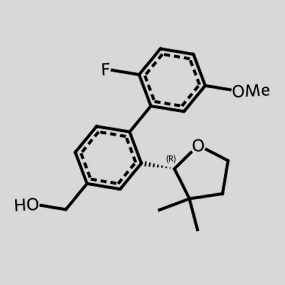 COc1ccc(F)c(-c2ccc(CO)cc2[C@@H]2OCCC2(C)C)c1